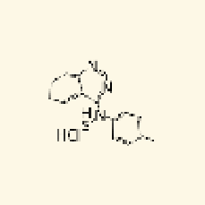 Cc1ccc(N(S)c2ncnc3ccccc23)cc1.Cl